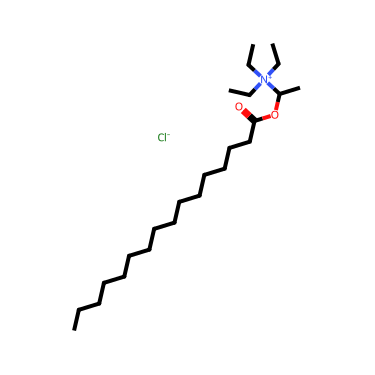 CCCCCCCCCCCCCCCC(=O)OC(C)[N+](CC)(CC)CC.[Cl-]